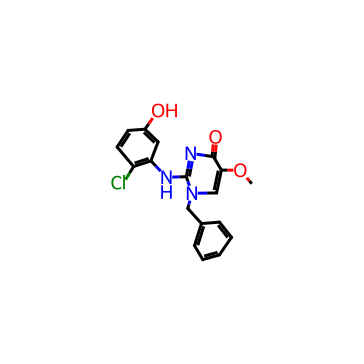 COc1cn(Cc2ccccc2)c(Nc2cc(O)ccc2Cl)nc1=O